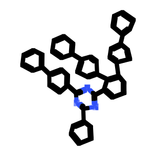 c1ccc(-c2ccc(-c3nc(-c4ccccc4)nc(-c4cccc(-c5ccc(-c6ccccc6)cc5)c4-c4ccc(-c5ccccc5)cc4)n3)cc2)cc1